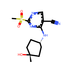 CS(=O)(=O)c1ncc(C#N)c(N[C@H]2CC[C@@](C)(O)CC2)n1